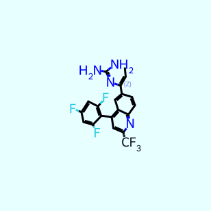 C/C=C(\N=C(N)N)c1ccc2nc(C(F)(F)F)cc(-c3c(F)cc(F)cc3F)c2c1